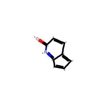 O=C1C=CC2=CC=CC2=N1